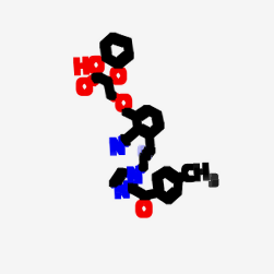 Cc1ccc(C(=O)c2nccn2C/C=C/c2cccc(COCC(Oc3ccccc3)C(=O)O)c2C#N)cc1